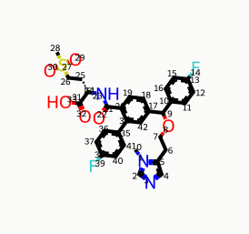 Cn1cncc1CCOC(c1ccc(F)cc1)c1ccc(C(=O)N[C@@H](CCS(C)(=O)=O)C(=O)O)c(-c2ccc(F)cc2)c1